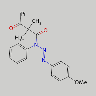 COc1ccc(N=NN(C(=O)C(C)(C)C(=O)C(C)C)c2ccccc2)cc1